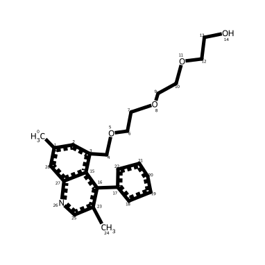 Cc1cc(COCCOCCOCCO)c2c(-c3ccccc3)c(C)cnc2c1